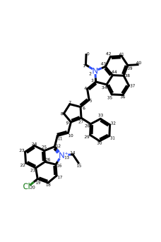 CCn1/c(=C/C=C2\CCC(/C=C/C3=[N+](CC)c4ccc(Cl)c5cccc3c45)=C2c2ccccc2)c2cccc3c(C)ccc1c32